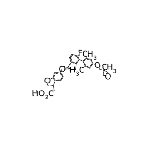 Cc1cc(OCC2(C)COC2)cc(C)c1-c1c(F)ccc2c1CC[C@H]2Oc1ccc2c(c1)OCC2CC(=O)O